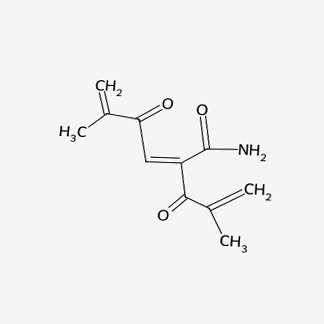 C=C(C)C(=O)C=C(C(N)=O)C(=O)C(=C)C